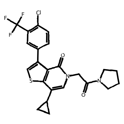 O=C(Cn1cc(C2CC2)c2scc(-c3ccc(Cl)c(C(F)(F)F)c3)c2c1=O)N1CCCC1